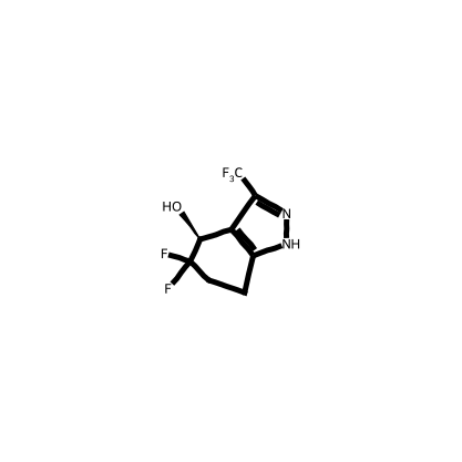 O[C@H]1c2c(C(F)(F)F)n[nH]c2CCC1(F)F